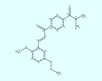 CCCc1ccc(OC)c(C=CC(=O)c2ccc(C(=O)N(C)C)cc2)c1